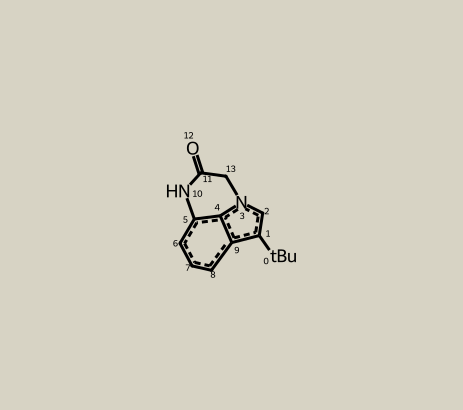 CC(C)(C)c1cn2c3c(cccc13)NC(=O)C2